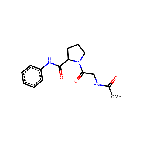 COC(=O)NCC(=O)N1CCCC1C(=O)Nc1ccccc1